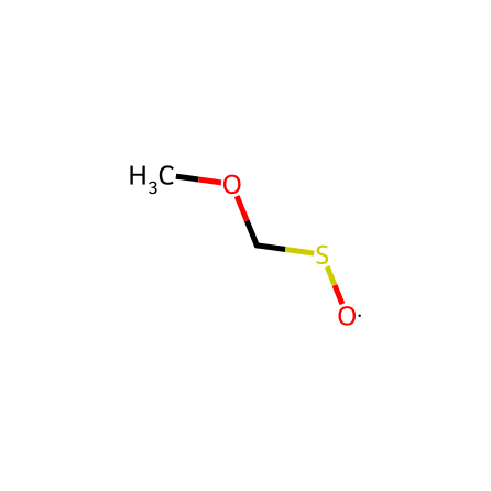 COCS[O]